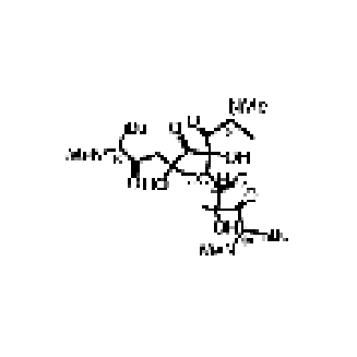 CCCC[C@@H](NC)C(=O)C(C)(O)C(=O)CC(O)(C(=O)[C@@H](C)NC)C(=O)C(O)(CC(=O)[C@@H](NC)C(C)CC)C(=O)O